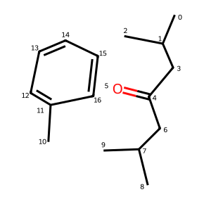 CC(C)CC(=O)CC(C)C.Cc1ccccc1